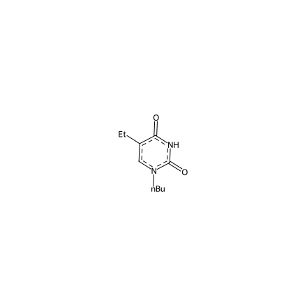 CCCCn1cc(CC)c(=O)[nH]c1=O